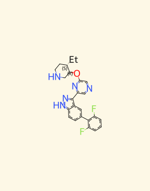 CC[C@H]1CCNC[C@@H]1Oc1cncc(-c2n[nH]c3ccc(-c4c(F)cccc4F)cc23)n1